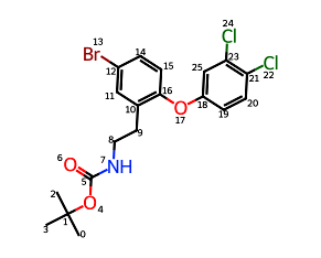 CC(C)(C)OC(=O)NCCc1cc(Br)ccc1Oc1ccc(Cl)c(Cl)c1